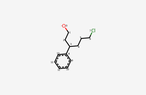 [O]CCC(CCCCl)c1ccccc1